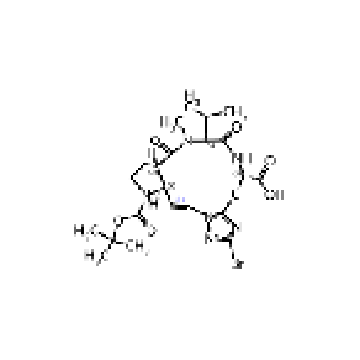 CC(C)[C@H]1C(=O)N[C@H](C(=O)O)Cc2nc(Br)nn2/C=C/[C@@H]2[C@H](CCN2C(=O)OC(C)(C)C)C(=O)N1C